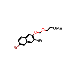 COCCOCOc1cc2ccc(Br)cc2cc1C(C)C